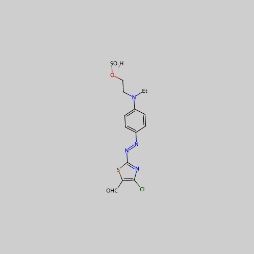 CCN(CCOS(=O)(=O)O)c1ccc(N=Nc2nc(Cl)c(C=O)s2)cc1